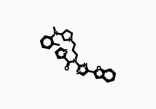 Cc1ccccc1N(C)C1CCN(CCCN(C(=O)c2cccs2)c2nc(-c3cc4ccccc4o3)cs2)C1